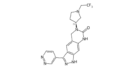 O=C1Nc2cc3[nH]nc(-c4ccnnc4)c3cc2CN1[C@H]1CCN(CC(F)(F)F)C1